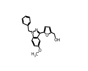 COc1ccc2c(c1)c(-c1ccc(CO)o1)nn2Cc1ccccc1